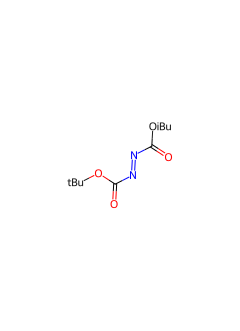 CC(C)COC(=O)N=NC(=O)OC(C)(C)C